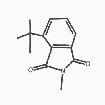 CN1C(=O)c2cccc(C(C)(C)C)c2C1=O